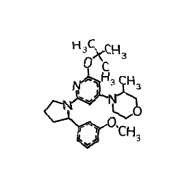 COc1cccc(C2CCCN2c2cc(N3CCOCC3C)cc(OC(C)(C)C)n2)c1